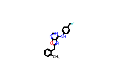 Cc1ccccc1Cc1nc2c(Nc3ccc(CF)cc3)ncnc2o1